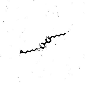 CCCCCCCc1ccc(-c2cnc(OCCCCCCC3CC3)cn2)cn1